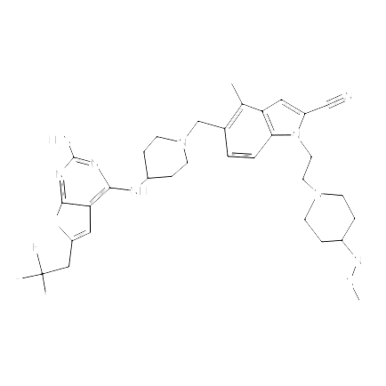 CNNC1CCN(CCn2c(C#N)cc3c(C)c(CN4CCC(Nc5nc(N)nc6sc(CC(F)(F)F)cc56)CC4)ccc32)CC1